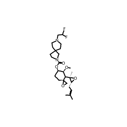 CO[C@H]1C([C@@]2(C)O[C@@H]2CC=C(C)C)[C@]2(CC[C@H]1OC(=O)N1CCC3(CCN(CC(F)F)CC3)C1)CO2